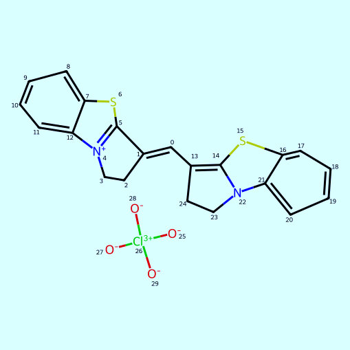 C(=C1CC[n+]2c1sc1ccccc12)C1=C2Sc3ccccc3N2CC1.[O-][Cl+3]([O-])([O-])[O-]